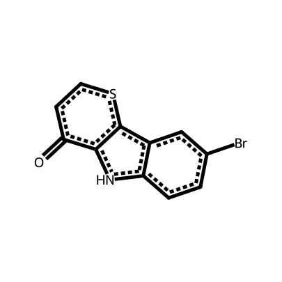 O=c1ccsc2c1[nH]c1ccc(Br)cc12